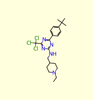 CCN1CCC(CNc2nc(-c3ccc(C(C)(C)C)cc3)nc(C(Cl)(Cl)Cl)n2)CC1